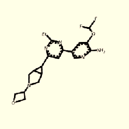 CCc1nc(-c2cnc(N)c(OC(F)F)c2)cc(C2C3CN(C4COC4)CC32)n1